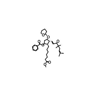 COC(=O)CCCCCC[C@@H]1[C@@H](/C=C/C(=O)C(C)(C)CC=C(C)C)[C@H](OC2CCCCO2)C[C@@H]1OC(=O)c1ccccc1